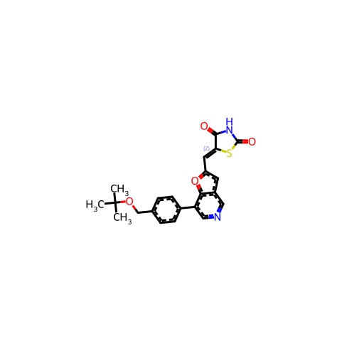 CC(C)(C)OCc1ccc(-c2cncc3cc(/C=C4\SC(=O)NC4=O)oc23)cc1